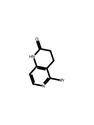 CC(C)c1nccc2c1CCC(=O)N2